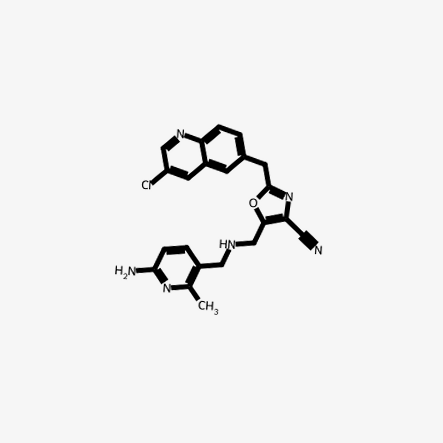 Cc1nc(N)ccc1CNCc1oc(Cc2ccc3ncc(Cl)cc3c2)nc1C#N